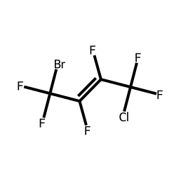 FC(=C(F)C(F)(F)Br)C(F)(F)Cl